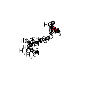 Cc1ncsc1-c1ccc([C@H](C)NC(=O)[C@@H]2C[C@@H](O)CN2C(=O)[C@@H](c2cc(N3CCC(OC(=O)N4CCC(O[C@H]5C[C@H](Oc6cc(N7C8CCC7CN(c7cc(-c9ccccc9O)nnc7N)C8)ccn6)C5)CC4)CC3)no2)C(C)C)cc1